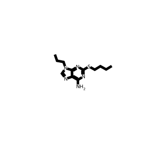 CCCCSc1nc(N)c2ncn(CCC)c2n1